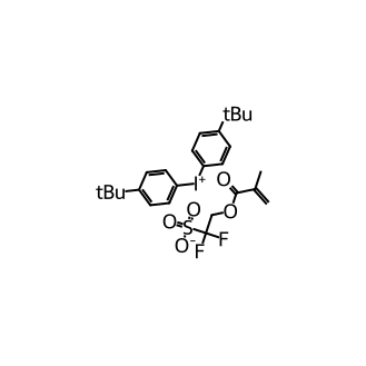 C=C(C)C(=O)OCC(F)(F)S(=O)(=O)[O-].CC(C)(C)c1ccc([I+]c2ccc(C(C)(C)C)cc2)cc1